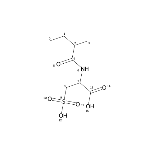 CCC(C)C(=O)NC(CS(=O)(=O)O)C(=O)O